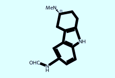 CN[C@@H]1CCc2[nH]c3ccc(NC=O)cc3c2C1